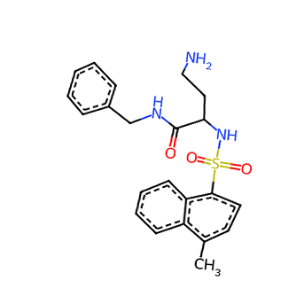 Cc1ccc(S(=O)(=O)NC(CCN)C(=O)NCc2ccccc2)c2ccccc12